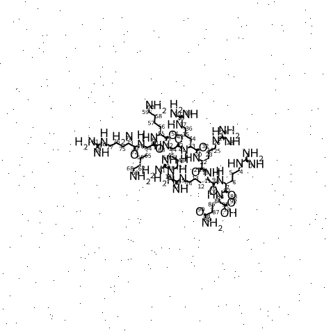 N=C(N)NCCC[C@H](NC(=O)[C@H](CCCNC(=N)N)NC(=O)[C@H](CCCNC(=N)N)NC(=O)[C@H](CCCNC(=N)N)NC(=O)[C@H](CCCNC(=N)N)NC(=O)[C@H](CCCCN)NC(=O)[C@H](CCCCN)NC(=O)[C@@H](N)CCCNC(=N)N)C(=O)N[C@@H](CCC(N)=O)C(=O)O